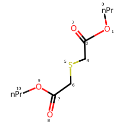 CCCOC(=O)CSCC(=O)OCCC